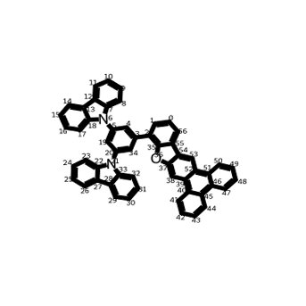 c1cc(-c2cc(-n3c4ccccc4c4ccccc43)cc(-n3c4ccccc4c4ccccc43)c2)c2oc3cc4c5ccccc5c5ccccc5c4cc3c2c1